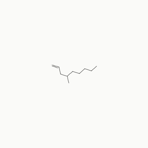 [CH]=CCC(C)CCCCC